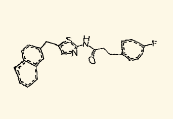 O=C(CCc1ccc(F)cc1)Nc1ncc(Cc2ccc3ccccc3c2)s1